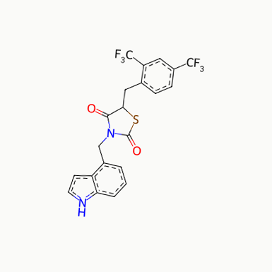 O=C1SC(Cc2ccc(C(F)(F)F)cc2C(F)(F)F)C(=O)N1Cc1cccc2[nH]ccc12